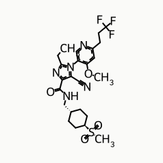 CCc1nc(C(=O)NC[C@H]2CC[C@H](S(C)(=O)=O)CC2)c(C#N)n1-c1cnc(CCC(F)(F)F)cc1OC